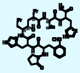 CC[C@H](C)[C@H](NC(=O)[C@@H](C[C@H](O)[C@H](CC(C)C)NC(=O)C(Cc1c[nH]cn1)NC(=O)C(Cc1ccccc1C=O)NN1CCCC1=O)C(C)C)C(=O)NC(Cc1c[nH]cn1)C(N)=O